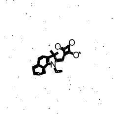 CCN1C(=Cc2c(OC)c(=O)c2=O)C(C)(C)c2ccc3ccccc3c21